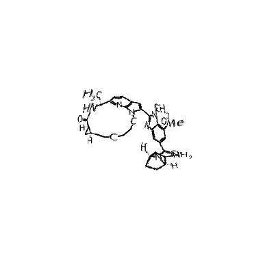 COc1cc(C(=O)N2[C@H]3CC[C@@H]2[C@H](N)C3)cc2nc(-c3cc4ccc5nc4n3CCCCC[C@@H]3C[C@H]3C(=O)N[C@@H]5C)n(C)c12